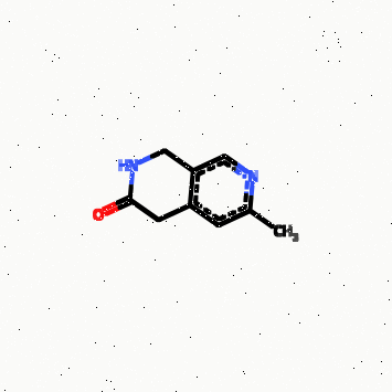 Cc1cc2c(cn1)CNC(=O)C2